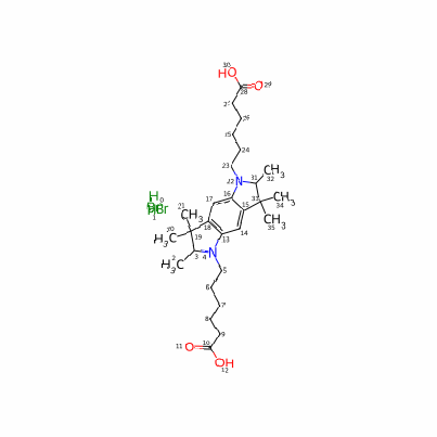 Br.Br.CC1N(CCCCCC(=O)O)c2cc3c(cc2C1(C)C)N(CCCCCC(=O)O)C(C)C3(C)C